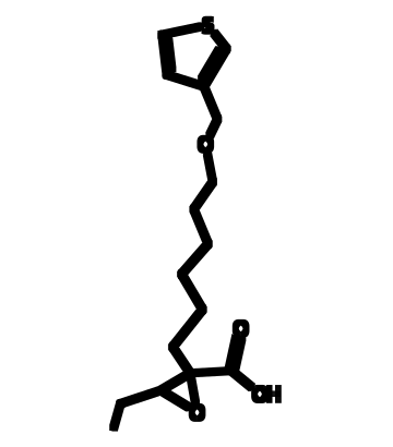 CCC1OC1(CCCCCCOCc1ccsc1)C(=O)O